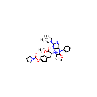 CCC(=O)N(c1ccccc1)c1cnc(N(CC)CC)nc1N[C@@H](Cc1ccc(OC(=O)N2CCCC2)cc1)C(=O)OC